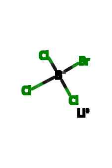 Cl[B-](Cl)(Cl)Br.[Li+]